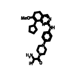 COC1=C(C2CCCC2)c2nc(Nc3ccc(N4CCN(C(=O)C(N)C(C)C)CC4)cc3)ncc2CC1